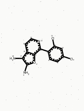 Nc1oc2c(-c3ccc(Cl)cc3Cl)nccc2c1N